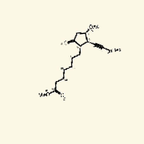 CCCCCCC#C[C@@H]1[C@H](OC(C)=O)CC(=O)[C@@H]1CCCCCCC(=O)OC